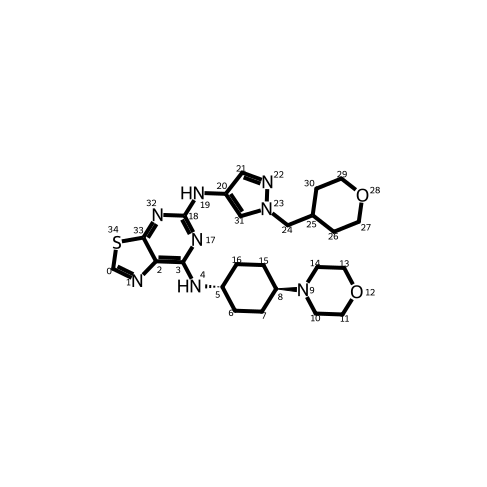 c1nc2c(N[C@H]3CC[C@H](N4CCOCC4)CC3)nc(Nc3cnn(CC4CCOCC4)c3)nc2s1